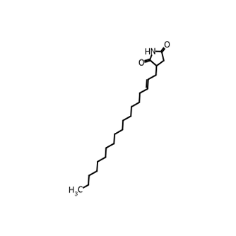 CCCCCCCCCCCCCCCC=CCC1CC(=O)NC1=O